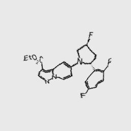 CCOC(=O)c1cnn2ccc(N3C[C@@H](F)C[C@@H]3c3cc(F)ccc3F)cc12